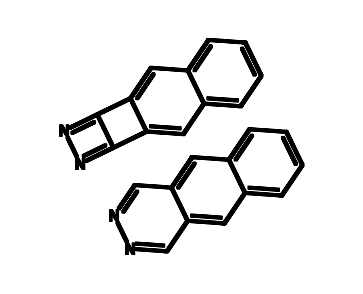 c1ccc2cc3c4nnc-4c3cc2c1.c1ccc2cc3cnncc3cc2c1